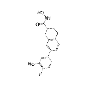 N#Cc1cc(-c2ccc3c(c2)CC(C(=O)NO)CC3)ccc1F